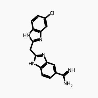 N=C(N)c1ccc2[nH]c(Cc3nc4cc(Cl)ccc4[nH]3)nc2c1